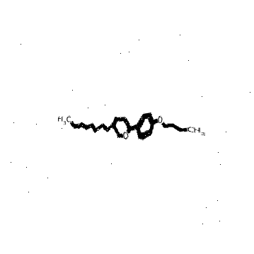 CCCCCCCCC1CCC(c2ccc(OCCCC)cc2)OC1